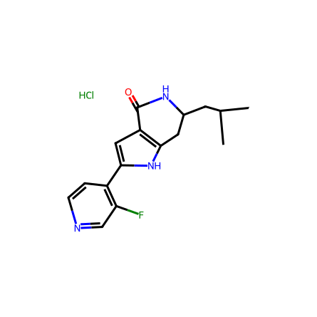 CC(C)CC1Cc2[nH]c(-c3ccncc3F)cc2C(=O)N1.Cl